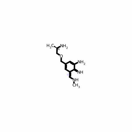 CN/C=C1/C=C(COC[C@@H](C)N)C=C(N)C1=N